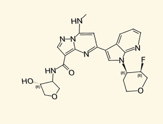 CNc1cc(-c2cn([C@@H]3CCOC[C@@H]3F)c3ncccc23)nc2c(C(=O)NC3COC[C@@H]3O)cnn12